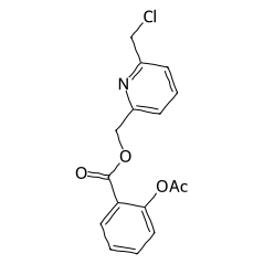 CC(=O)Oc1ccccc1C(=O)OCc1cccc(CCl)n1